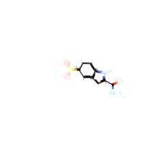 NC(=O)c1cc2c([nH]1)=CCC(=S(=O)=O)C=2